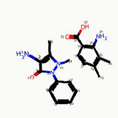 Cc1c(N)c(=O)n(-c2ccccc2)n1C.Cc1ccc(C(=O)O)c(N)c1C